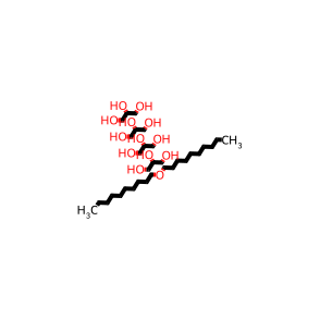 CCCCCCCCCCOCCCCCCCCCC.OCC(O)CO.OCC(O)CO.OCC(O)CO.OCC(O)CO